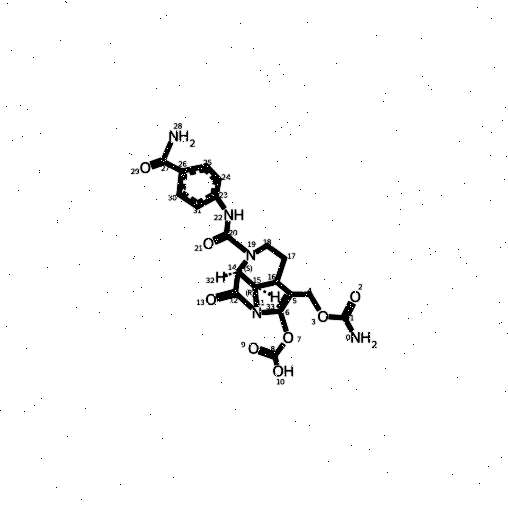 NC(=O)OCC1=C(OC(=O)O)N2C(=O)[C@@H]3[C@H]2C1CCN3C(=O)Nc1ccc(C(N)=O)cc1